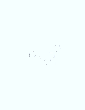 O=Cc1ccc(/C=C/c2ccc(F)cc2F)cc1NC(=O)c1ccccc1